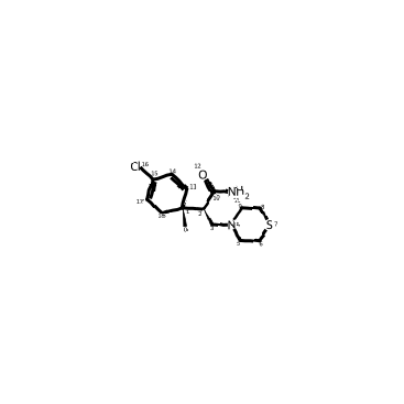 C[C@]1([C@H](CN2CCSCC2)C(N)=O)C=CC(Cl)=CC1